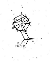 CC(O)[C]12[CH]3[CH]4[CH]5[CH]1[Ru]45321678[CH]2[CH]1[CH]6[C]7(C(C)O)[CH]28